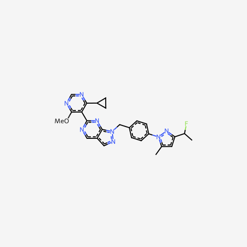 COc1ncnc(C2CC2)c1-c1ncc2cnn(Cc3ccc(-n4nc(C(C)F)cc4C)cc3)c2n1